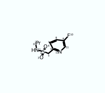 CC(C)NS(=O)(=O)Cc1ccc(F)cn1